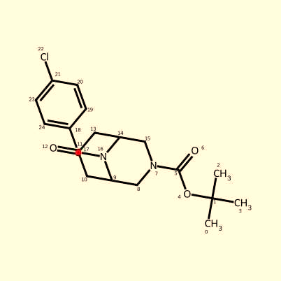 CC(C)(C)OC(=O)N1CC2CC(=O)CC(C1)N2Sc1ccc(Cl)cc1